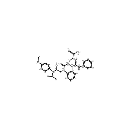 COc1ccc(N(C(=O)CN(C(=O)[C@H](CCC(=O)O)NC(=O)Nc2ccccc2)c2ccccc2)C(C)C)cc1